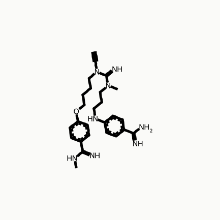 C#CN(CCCCOc1ccc(C(=N)NC)cc1)C(=N)N(C)CCCNc1ccc(C(=N)N)cc1